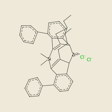 CCCCC1=C2c3c(-c4ccccc4)cccc3[CH]1[Zr+2][CH]1C(CCCC)=C(c3c(-c4ccccc4)cccc31)[Si]2(C)C.[Cl-].[Cl-]